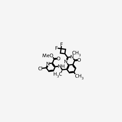 COC(=O)c1nc(Cl)ccc1N[C@H](C)c1cc(C)cc2c(=O)n(C)c(C3CC(F)(F)C3)nc12